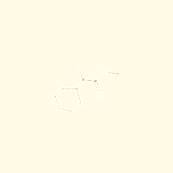 COC(=O)C(S)C1CCCCC1